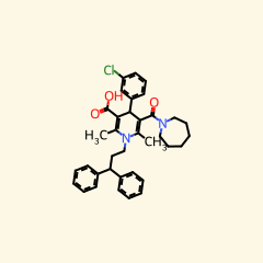 CC1=C(C(=O)O)C(c2cccc(Cl)c2)C(C(=O)N2CCCCCC2)=C(C)N1CCC(c1ccccc1)c1ccccc1